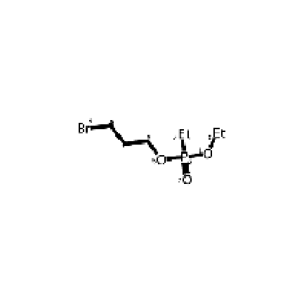 CCOP(=O)(CC)OCCCBr